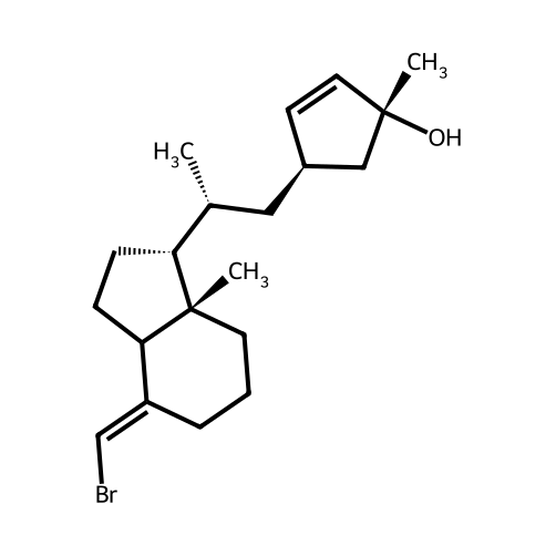 C[C@H](C[C@H]1C=C[C@](C)(O)C1)[C@H]1CCC2C(=CBr)CCC[C@]21C